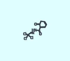 O=C1CC=CC=C1C(=O)NN=CC(Cl)(Cl)Cl